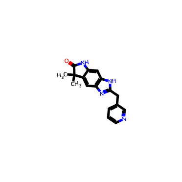 CC1(C)C(=O)Nc2cc3[nH]c(Cc4cccnc4)nc3cc21